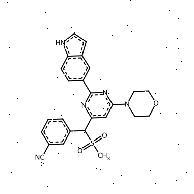 CS(=O)(=O)C(c1cccc(C#N)c1)c1cc(N2CCOCC2)nc(-c2ccc3[nH]ccc3c2)n1